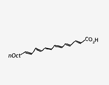 CCCCCCCCC=CC=CC=CC=CC=CC=CC(=O)O